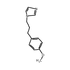 COc1ccc(CCCn2ccnc2)cc1